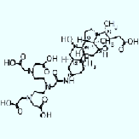 C[C@H](CCC(=O)O)[C@H]1CC[C@H]2[C@@H]3[C@H](O)C[C@@H]4C[C@@H](NC(=O)CN(CCN(CC(=O)O)CC(=O)O)CCN(CC(=O)O)CC(=O)O)CC[C@]4(C)[C@H]3C[C@H](O)[C@]12C